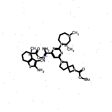 C[C@H]1CN(C)CCCN1c1nc(/C(N)=N/OC(=O)[C@@]2(C)CCCc3sc(N)c(C#N)c32)cc(N2CCC3(CN(C(=O)OC(C)(C)C)C3)C2)n1